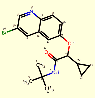 CC(C)(C)NC(=O)C(Oc1ccc2ncc(Br)cc2c1)C1CC1